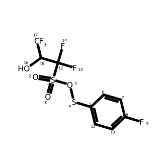 O=S(=O)(OSc1ccc(F)cc1)C(F)(F)C(O)C(F)(F)F